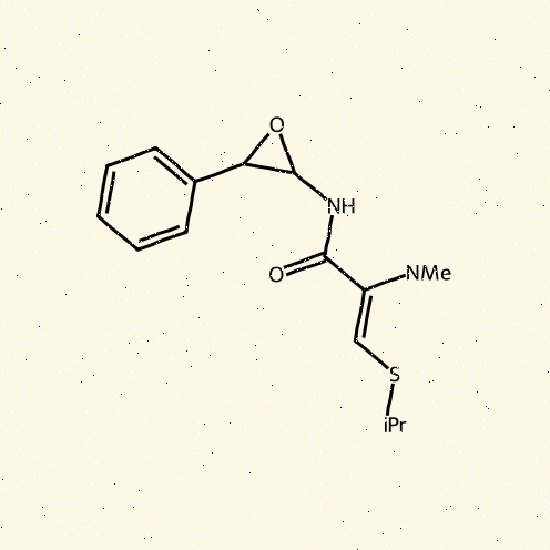 CN/C(=C\SC(C)C)C(=O)NC1OC1c1ccccc1